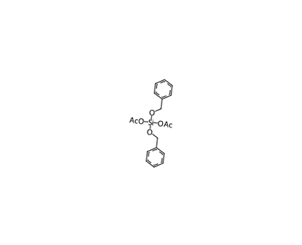 CC(=O)O[Si](OCc1ccccc1)(OCc1ccccc1)OC(C)=O